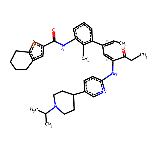 C/C=C(\C=C(\Nc1ccc(C2CCN(C(C)C)CC2)cn1)C(=O)CC)c1cccc(NC(=O)c2cc3c(s2)CCCC3)c1C